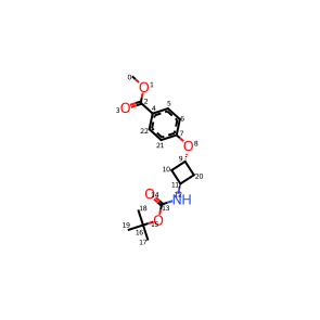 COC(=O)c1ccc(O[C@H]2C[C@H](NC(=O)OC(C)(C)C)C2)cc1